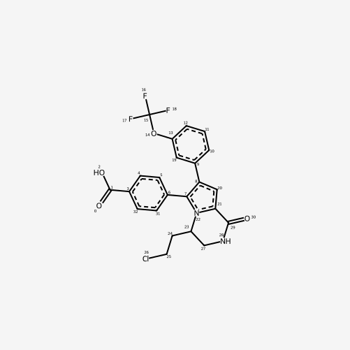 O=C(O)c1ccc(-c2c(-c3cccc(OC(F)(F)F)c3)cc3n2C(CCCl)CNC3=O)cc1